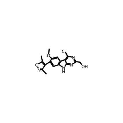 COc1cc2c(cc1-c1c(C)noc1C)[nH]c1nc(CO)nc(Cl)c12